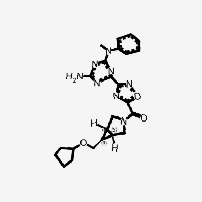 CN(c1ccccc1)c1nc(N)nc(-c2noc(C(=O)N3C[C@@H]4[C@@H](COC5CCCC5)[C@@H]4C3)n2)n1